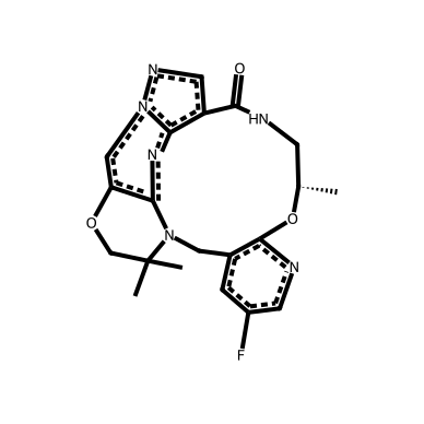 C[C@H]1CNC(=O)c2cnn3cc4c(nc23)N(Cc2cc(F)cnc2O1)C(C)(C)CO4